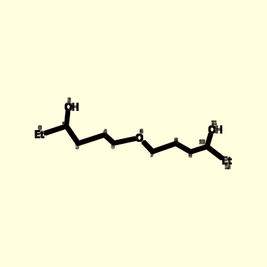 CCC(O)CCCOCCCC(O)CC